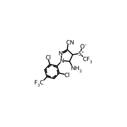 N#CC1=NN(c2c(Cl)cc(C(F)(F)F)cc2Cl)C(N)C1[S+]([O-])C(F)(F)F